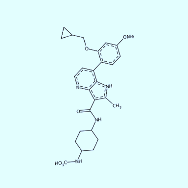 COc1ccc(-c2ccnc3c(C(=O)NC4CCC(NC(=O)O)CC4)c(C)[nH]c23)c(OCC2CC2)c1